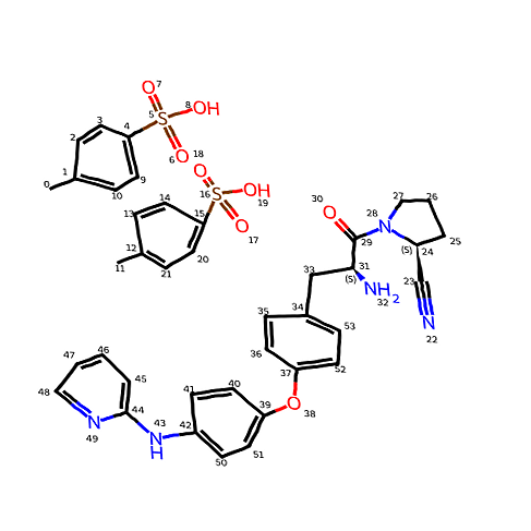 Cc1ccc(S(=O)(=O)O)cc1.Cc1ccc(S(=O)(=O)O)cc1.N#C[C@@H]1CCCN1C(=O)[C@@H](N)Cc1ccc(Oc2ccc(Nc3ccccn3)cc2)cc1